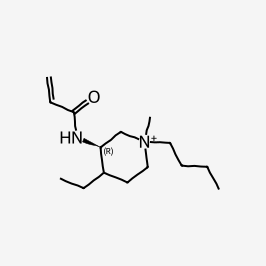 C=CC(=O)N[C@H]1C[N+](C)(CCCC)CCC1CC